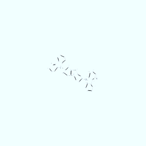 c1ccc2c(c1)c1ncccc1n2-c1ccc2c(c1)Cc1cc(-n3c4ccccc4c4ncccc43)ccc1-2